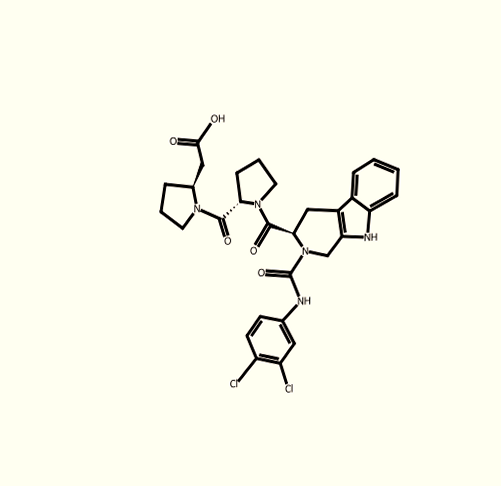 O=C(O)C[C@@H]1CCCN1C(=O)[C@@H]1CCCN1C(=O)[C@H]1Cc2c([nH]c3ccccc23)CN1C(=O)Nc1ccc(Cl)c(Cl)c1